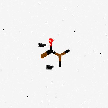 C[S-](C)C([O-])=S.[Na+].[Na+]